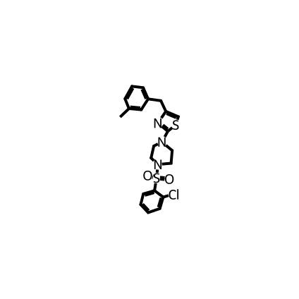 Cc1cccc(Cc2csc(N3CCN(S(=O)(=O)c4ccccc4Cl)CC3)n2)c1